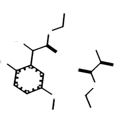 CCOC(=O)C(C)=O.CCOC(=O)C(O)c1cc(SC)ccc1O